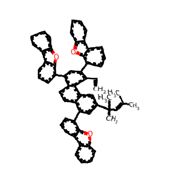 C=Cc1c(-c2cccc3c2oc2ccccc23)cc(-c2cccc3c2oc2ccccc23)c2ccc3c(-c4cccc5c4oc4ccccc45)cc(C(C)(C)C=C(C)C)cc3c12